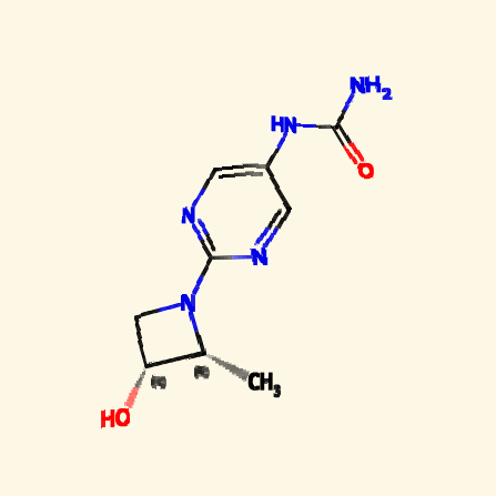 C[C@@H]1[C@H](O)CN1c1ncc(NC(N)=O)cn1